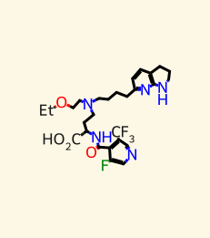 CCOCCN(CCCCc1ccc2c(n1)NCCC2)CCC(NC(=O)c1c(F)cncc1C(F)(F)F)C(=O)O